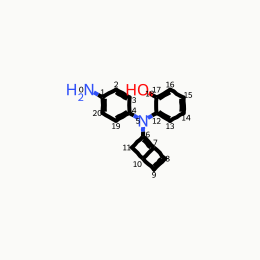 Nc1ccc(N(C2=C3C=CC3C2)c2ccccc2O)cc1